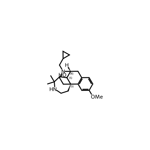 COc1ccc2c(c1)[C@@]13CCNC(C)(C)C[C@@]1(O)[C@@H](C2)N(CC1CC1)CC3